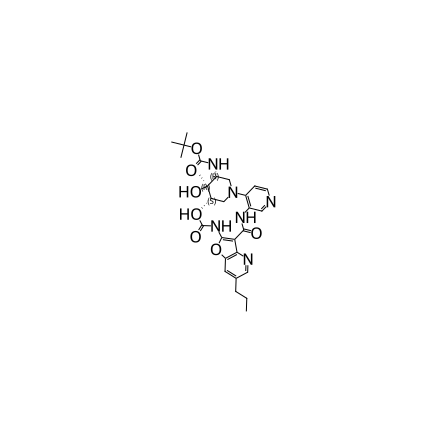 CCCc1cnc2c(C(=O)Nc3cnccc3N3C[C@H](C)[C@@](C)(O)[C@H](NC(=O)OC(C)(C)C)C3)c(NC(=O)O)oc2c1